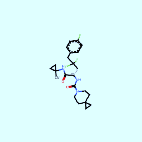 N#CC1(NC(=O)[C@H](CC(F)(F)Cc2ccc(F)cc2)NC(=O)N2CCC3(CC2)CC3)CC1